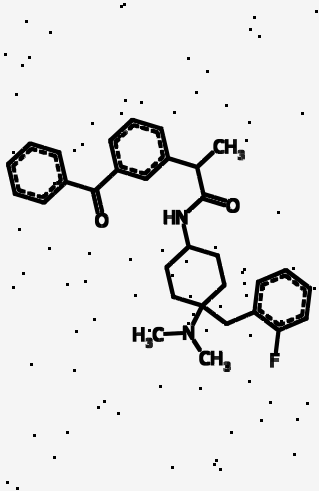 CC(C(=O)NC1CCC(Cc2ccccc2F)(N(C)C)CC1)c1cccc(C(=O)c2ccccc2)c1